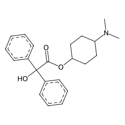 CN(C)C1CCC(OC(=O)C(O)(c2ccccc2)c2ccccc2)CC1